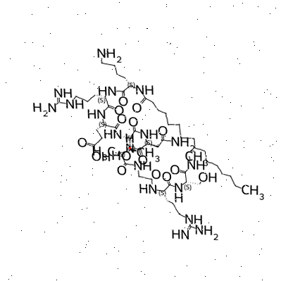 CCCCCCCCCCCCCCCC(=O)N[C@@H](CCCCN)C(=O)N[C@@H](CCCNC(=N)N)C(=O)N[C@@H](CCC(=O)O)C(=O)N[C@H](C(=O)N[C@@H](CC(N)=O)C(=O)N[C@@H](C)C(=O)NCC(=O)N[C@@H](CCCNC(=N)N)C(=O)N[C@@H](CO)C(=O)NC)[C@@H](C)O